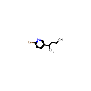 N#CCCC(c1ccc(Br)nc1)C(F)(F)F